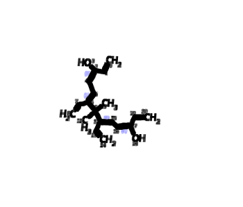 C=C/C(O)=C\C=C(/C=C)C(C)(C)/C(C=C)=C/C=C(/O)C=C